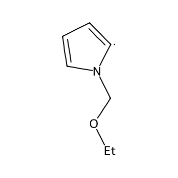 CCOCn1[c]ccc1